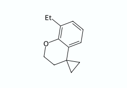 CCc1cccc2c1OCCC21CC1